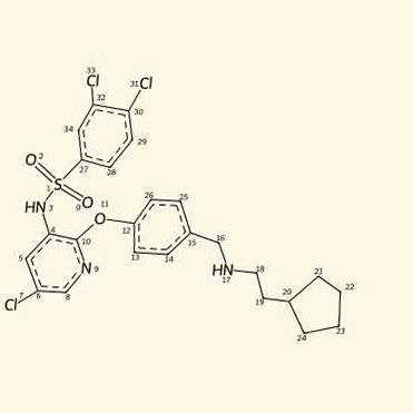 O=S(=O)(Nc1cc(Cl)cnc1Oc1ccc(CNCCC2CCCC2)cc1)c1ccc(Cl)c(Cl)c1